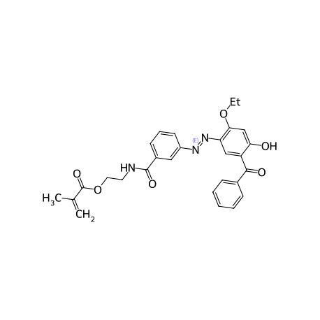 C=C(C)C(=O)OCCNC(=O)c1cccc(/N=N/c2cc(C(=O)c3ccccc3)c(O)cc2OCC)c1